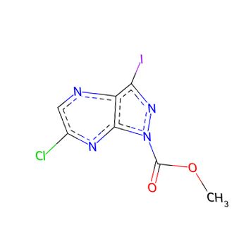 COC(=O)n1nc(I)c2ncc(Cl)nc21